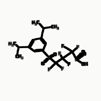 CC(C)c1cc(C(C)C)cc(S(=O)(=O)C(F)(F)C(F)(F)C(F)(F)S(=O)(=O)O)c1